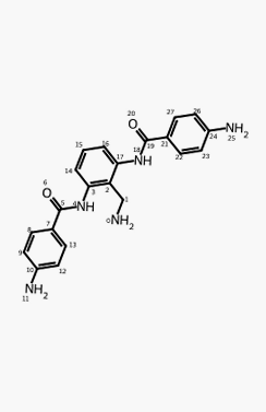 NCc1c(NC(=O)c2ccc(N)cc2)cccc1NC(=O)c1ccc(N)cc1